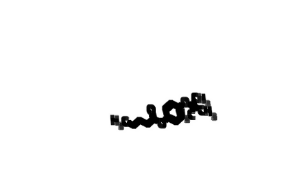 CCCCC(=O)Oc1ccc(OC(C)(C)C)cc1